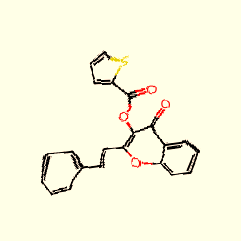 O=C(Oc1c(C=Cc2ccccc2)oc2ccccc2c1=O)c1cccs1